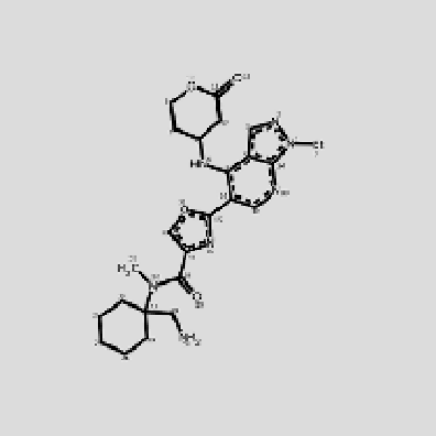 CCn1ncc2c(NC3CCOC(=O)C3)c(-c3nc(C(=O)N(C)C4(CN)CCCCC4)co3)cnc21